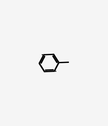 Cc1[c]cc[c]c1